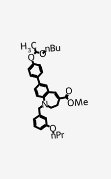 CCCCOC(C)Oc1ccc(-c2ccc3c(c2)C=C(C(=O)OC)CCN3Cc2cccc(OCCC)c2)cc1